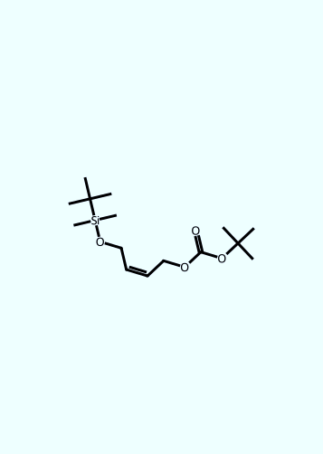 CC(C)(C)OC(=O)OC/C=C\CO[Si](C)(C)C(C)(C)C